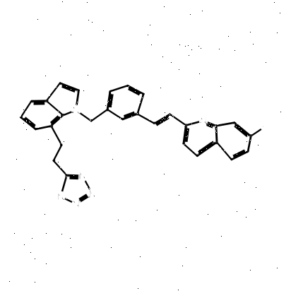 Clc1ccc2ccc(/C=C/c3cccc(Cn4ccc5cccc(CCc6nnn[nH]6)c54)c3)nc2c1